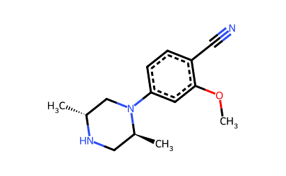 COc1cc(N2C[C@@H](C)NC[C@@H]2C)ccc1C#N